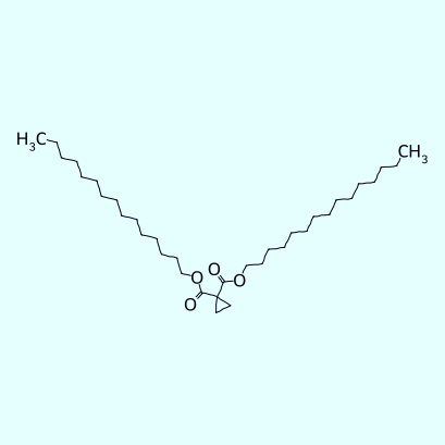 CCCCCCCCCCCCCCCOC(=O)C1(C(=O)OCCCCCCCCCCCCCCC)CC1